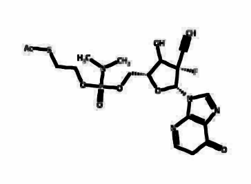 C#C[C@]1(F)C(O)[C@@H](COP(=O)(OCCSC(C)=O)N(C)C)O[C@H]1n1cnc2c1N=CCC2=O